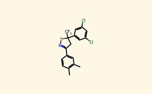 Cc1ccc(C2=NSC(c3cc(Cl)cc(Cl)c3)(C(F)(F)F)C2)cc1C